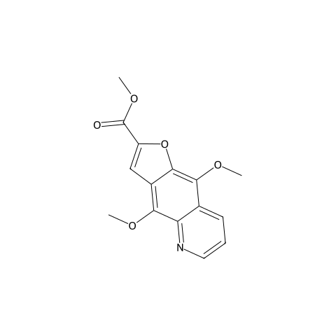 COC(=O)c1cc2c(OC)c3ncccc3c(OC)c2o1